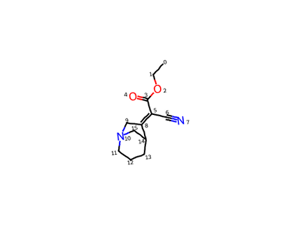 CCOC(=O)C(C#N)=C1CN2CCCC1C2